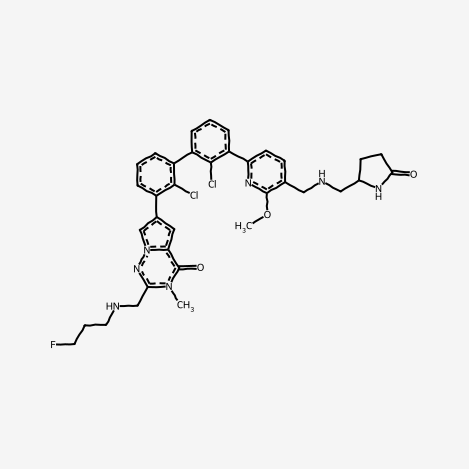 COc1nc(-c2cccc(-c3cccc(-c4cc5c(=O)n(C)c(CNCCCF)nn5c4)c3Cl)c2Cl)ccc1CNCC1CCC(=O)N1